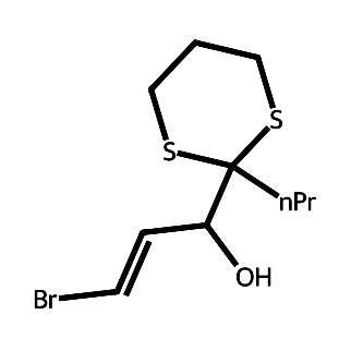 CCCC1(C(O)/C=C/Br)SCCCS1